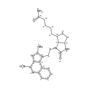 CCCCc1nc2c(N)nc3ccccc3c2n1CCN1C(=O)NC2CSC(CCCCC(N)=O)C21